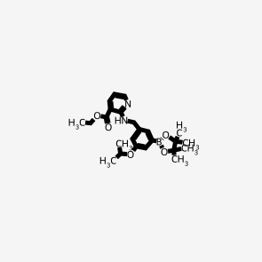 CCOC(=O)c1cccnc1NCc1cc(OC(C)C)cc(B2OC(C)(C)C(C)(C)O2)c1